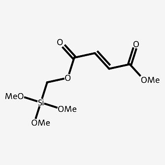 COC(=O)/C=C/C(=O)OC[Si](OC)(OC)OC